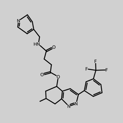 CC1Cc2nnc(-c3cccc(C(F)(F)F)c3)cc2C(OC(=O)CCC(=O)NCc2ccncc2)C1